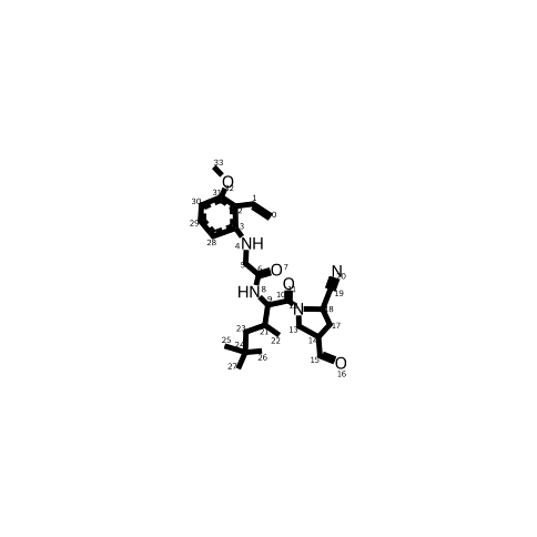 C=Cc1c(NCC(=O)NC(C(=O)N2CC(C=O)CC2C#N)C(C)CC(C)(C)C)cccc1OC